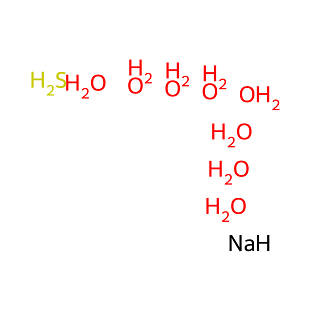 O.O.O.O.O.O.O.O.S.[NaH]